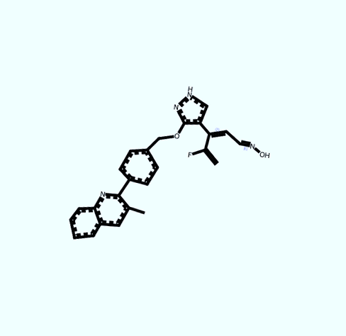 C=C(F)/C(=C\C=N\O)c1c[nH]nc1OCc1ccc(-c2nc3ccccc3cc2C)cc1